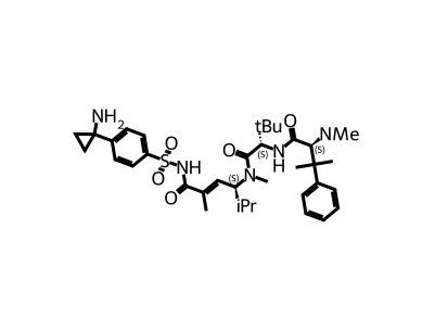 CN[C@H](C(=O)N[C@H](C(=O)N(C)[C@H](C=C(C)C(=O)NS(=O)(=O)c1ccc(C2(N)CC2)cc1)C(C)C)C(C)(C)C)C(C)(C)c1ccccc1